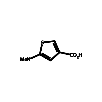 CNc1cc(C(=O)O)cs1